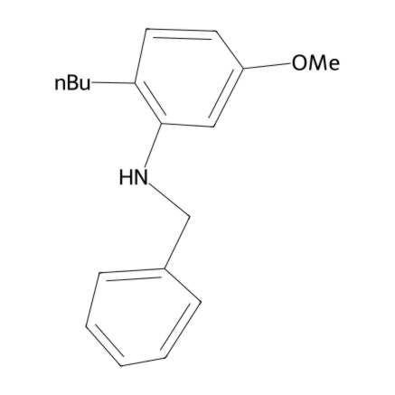 CCCCc1ccc(OC)cc1NCc1ccccc1